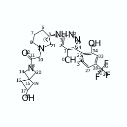 Cc1cc(N[C@@H]2CCCN(CC(=O)N3CC4(CC(O)C4)C3)C2)nnc1-c1ccc(C(F)(F)F)cc1O